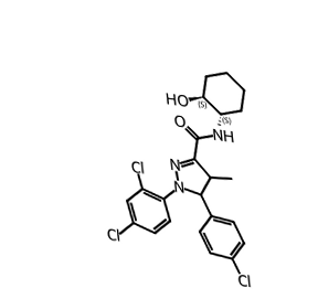 CC1C(C(=O)N[C@H]2CCCC[C@@H]2O)=NN(c2ccc(Cl)cc2Cl)C1c1ccc(Cl)cc1